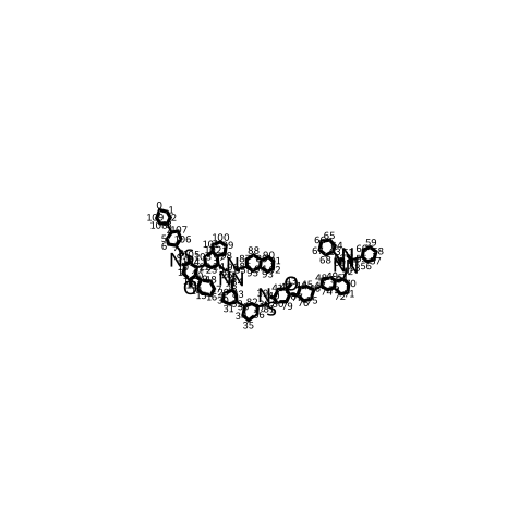 c1ccc(-c2ccc(-c3nc4cc5oc6ccccc6c5c(-c5cc(-c6nc(-c7cccc(-c8cccc(-c9nc%10cc%11oc%12cc(-c%13ccc%14c(-c%15nc(-c%16ccccc%16)nc(-c%16ccccc%16)n%15)cccc%14c%13)ccc%12c%11cc%10s9)c8)c7)nc(-c7ccc8ccccc8c7)n6)c6ccccc6c5)c4s3)cc2)cc1